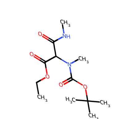 CCOC(=O)C(C(=O)NC)N(C)C(=O)OC(C)(C)C